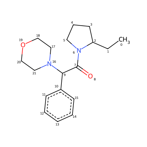 CCC1CCCN1C(=O)C(c1ccccc1)N1CCOCC1